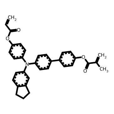 C=CC(=O)Oc1ccc(N(c2ccc(-c3ccc(OC(=O)C(=C)C)cc3)cc2)c2ccc3c(c2)CCC3)cc1